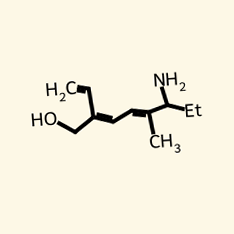 C=C/C(=C\C=C(/C)C(N)CC)CO